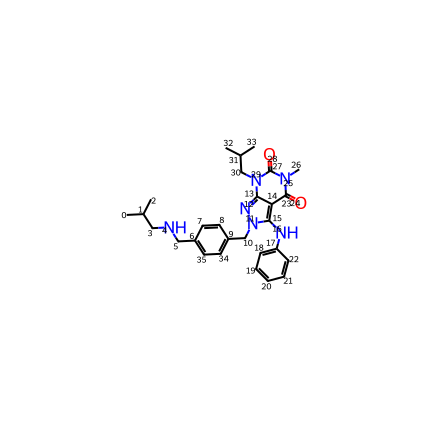 CC(C)CNCc1ccc(Cn2nc3c(c2Nc2ccccc2)c(=O)n(C)c(=O)n3CC(C)C)cc1